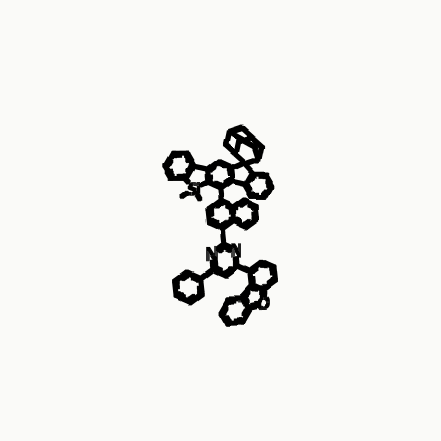 C[Si]1(C)c2ccccc2-c2cc3c(c(-c4ccc(-c5nc(-c6ccccc6)cc(-c6cccc7oc8ccccc8c67)n5)c5ccccc45)c21)-c1ccccc1C31C2CC3CC(C2)CC1C3